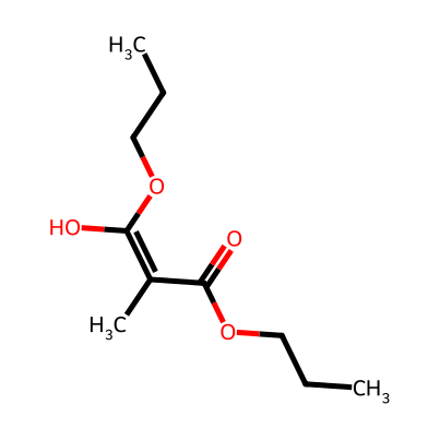 CCCOC(=O)/C(C)=C(/O)OCCC